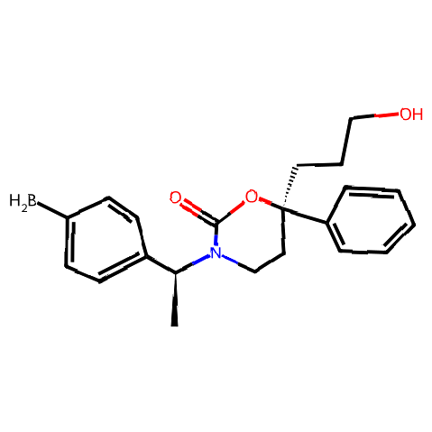 Bc1ccc([C@H](C)N2CC[C@](CCCO)(c3ccccc3)OC2=O)cc1